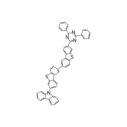 c1ccc(-c2nc(-c3ccccc3)nc(-c3ccc4c(c3)sc3ccc(-c5ccc6sc7cc(-n8c9ccccc9c9ccccc98)ccc7c6c5)cc34)n2)cc1